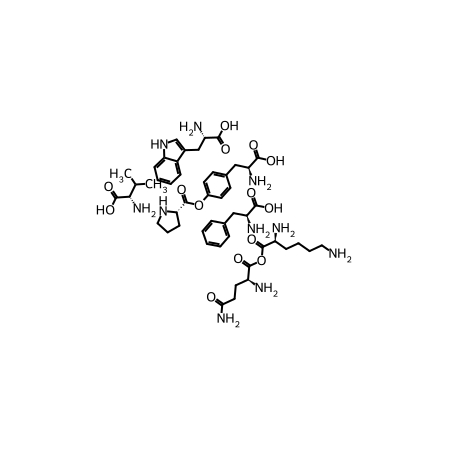 CC(C)[C@H](N)C(=O)O.NCCCC[C@H](N)C(=O)OC(=O)[C@@H](N)CCC(N)=O.N[C@@H](Cc1c[nH]c2ccccc12)C(=O)O.N[C@@H](Cc1ccc(OC(=O)[C@@H]2CCCN2)cc1)C(=O)O.N[C@@H](Cc1ccccc1)C(=O)O